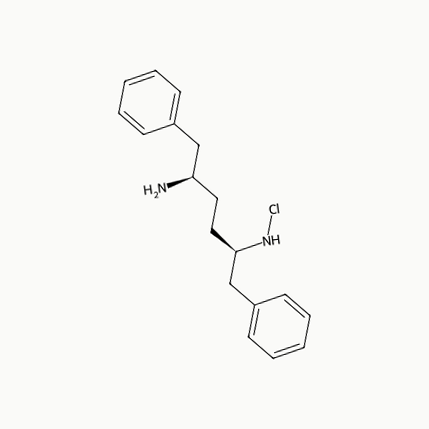 N[C@H](CC[C@H](Cc1ccccc1)NCl)Cc1ccccc1